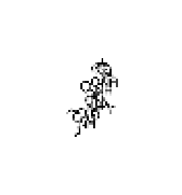 C=CCNC(=O)C(=O)C(CCCC)NC(=O)[C@@H]1C2C(CN1C(=O)[C@@H](NC(=O)N[C@H](CS(=O)(=O)C(C)(C)C)C(C)C)C1CCCCC1)C2(C)C